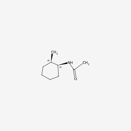 CC(=O)N[C@H]1CCCC[C@H]1C